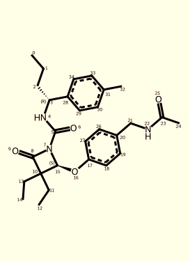 CCC[C@@H](NC(=O)N1C(=O)C(CC)(CC)[C@@H]1Oc1ccc(CNC(C)=O)cc1)c1ccc(C)cc1